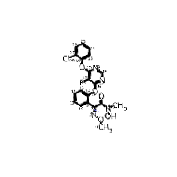 CO/N=C(\C(=O)N(C)O)c1ccccc1Oc1ncnc(Oc2ccccc2Cl)c1F